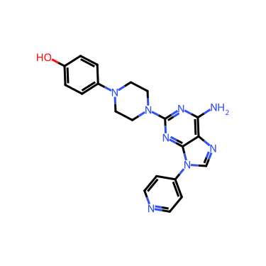 Nc1nc(N2CCN(c3ccc(O)cc3)CC2)nc2c1ncn2-c1ccncc1